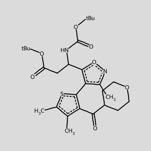 Cc1noc(C(CC(=O)OC(C)(C)C)NC(=O)OC(C)(C)C)c1-c1sc(C)c(C)c1C(=O)C1CCOCC1